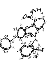 NC(=O)c1cccc2c1c1[c]cc(-c3ccccc3)cc1n2Cc1ccccc1C(F)(F)F